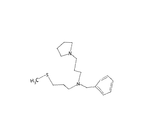 CSCCCN(CCCN1CCCC1)Cc1ccccc1